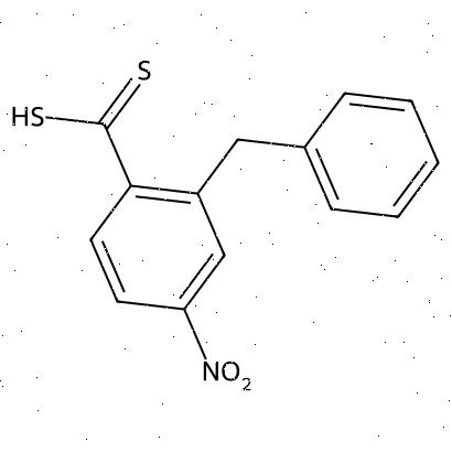 O=[N+]([O-])c1ccc(C(=S)S)c(Cc2ccccc2)c1